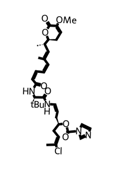 COC1=CC[C@@H]([C@@H](C)/C=C(C)/C=C\C=C/C(=O)N[C@H](C(=O)N/C=C\C[C@H](C/C=C(\C)Cl)OC(=O)n2ccnc2)C(C)(C)C)OC1=O